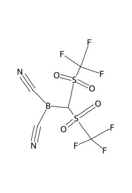 N#CB(C#N)C(S(=O)(=O)C(F)(F)F)S(=O)(=O)C(F)(F)F